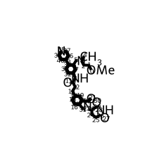 COCCN(C)Cc1cc(NC(=O)CCc2ccc3c(c2)C(=O)N(C2CCC(=O)NC2=O)C3)ccc1-c1ccncc1